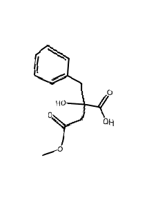 COC(=O)CC(O)(Cc1ccccc1)C(=O)O